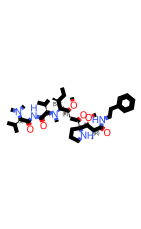 CC[C@H](C)[C@@H]([C@@H](CC(=O)[C@@]1([C@H](OC)[C@@H](C)C(=O)NCCc2ccccc2)CCCN1)OC)N(C)[C@H](C(=O)NC(=O)[C@H](C(C)C)N(C)C)C(C)C